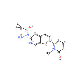 Cn1c(-c2ccc3c(c2)=CNC(N(N)C(=O)C2CC2)C=3)cccc1=O